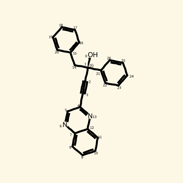 O[C@@](C#Cc1cnc2ccccc2n1)(Cc1ccccc1)c1ccccc1